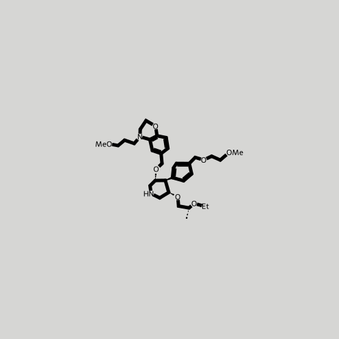 CCO[C@H](C)CO[C@@H]1CNC[C@H](OCc2ccc3c(c2)N(CCCOC)CCO3)[C@H]1c1ccc(COCCOC)cc1